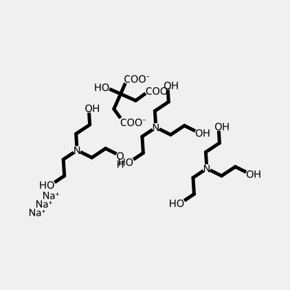 O=C([O-])CC(O)(CC(=O)[O-])C(=O)[O-].OCCN(CCO)CCO.OCCN(CCO)CCO.OCCN(CCO)CCO.[Na+].[Na+].[Na+]